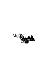 COc1ncc(-c2cc([C@H]3C[C@@H]3c3c(F)cc(C)cc3F)c3nccn3n2)c(OC)n1